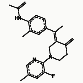 C=C(C)Nc1ccc(/C(C)=C2\CN(c3ncc(C)cc3F)CCC2=C)cc1C